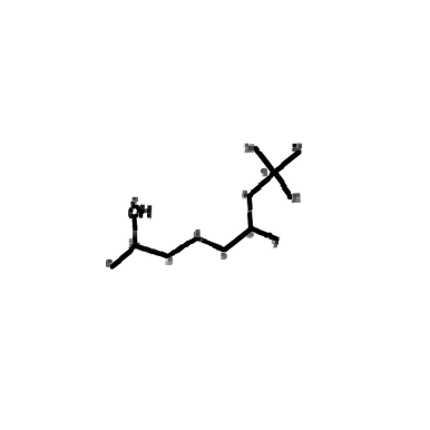 CC(O)CCCC(C)CC(C)(C)C